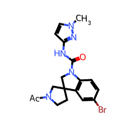 CC(=O)N1CCC2(C1)CN(C(=O)Nc1ccn(C)n1)c1ccc(Br)cc12